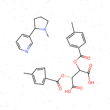 CN1CCCC1c1cccnc1.Cc1ccc(C(=O)OC(C(=O)O)[C@@H](OC(=O)c2ccc(C)cc2)C(=O)O)cc1